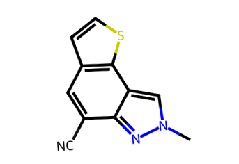 Cn1cc2c(n1)c(C#N)cc1ccsc12